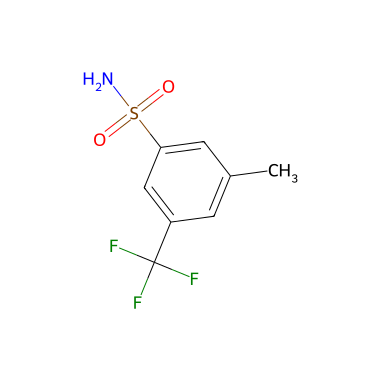 Cc1cc(C(F)(F)F)cc(S(N)(=O)=O)c1